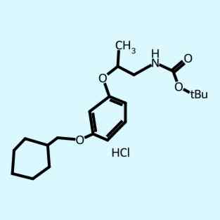 CC(CNC(=O)OC(C)(C)C)Oc1cccc(OCC2CCCCC2)c1.Cl